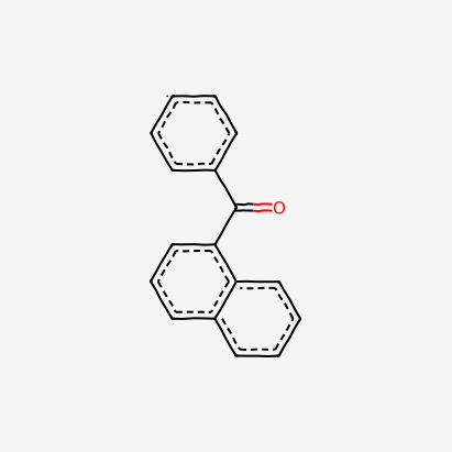 O=C(c1cc[c]cc1)c1cccc2ccccc12